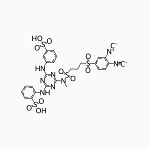 [C-]#[N+]c1ccc(S(=O)(=O)CCCS(=O)(=O)N(C)c2nc(Nc3cccc(S(=O)(=O)O)c3)nc(Nc3ccccc3S(=O)(=O)O)n2)cc1[N+]#[C-]